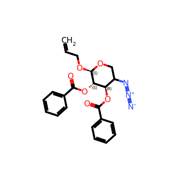 C=CCO[C@H]1OCC(N=[N+]=[N-])[C@@H](OC(=O)c2ccccc2)[C@@H]1OC(=O)c1ccccc1